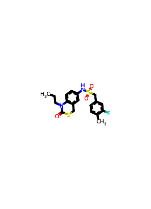 CCCN1C(=O)SCc2cc(NS(=O)(=O)Cc3ccc(C)c(F)c3)ccc21